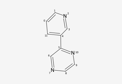 [c]1cncc(-c2cnccn2)c1